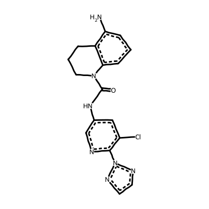 Nc1cccc2c1CCCN2C(=O)Nc1cnc(-n2nccn2)c(Cl)c1